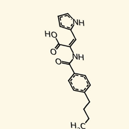 CCCCc1ccc(C(=O)NC(=Cc2ccc[nH]2)C(=O)O)cc1